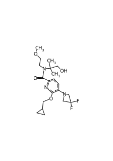 COCCN(C(=O)c1ccc(N2CC(F)(F)C2)c(OCC2CC2)n1)C(C)(C)CO